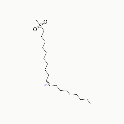 CCCCCCCC/C=C\CCCCCCCCCS(C)(=O)=O